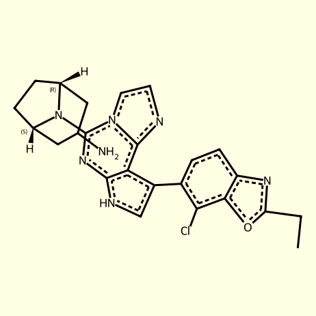 CCc1nc2ccc(-c3c[nH]c4nc(N5[C@@H]6CC[C@H]5CC(N)C6)n5ccnc5c34)c(Cl)c2o1